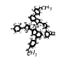 CCc1ccc(-c2cccc3c2C=C(c2ccc(-c4ccccc4)s2)[CH]3[Zr+2][CH]2C(c3ccc(-c4ccccc4)s3)=Cc3c(-c4ccc(CC)cc4)cccc32)cc1.[Cl-].[Cl-]